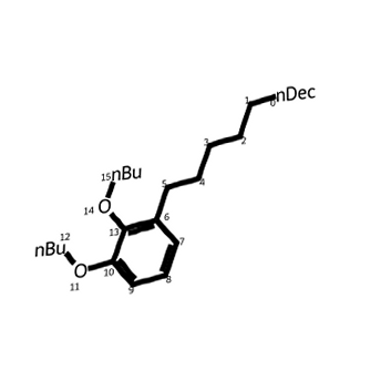 CCCCCCCCCCCCCCCc1cccc(OCCCC)c1OCCCC